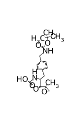 CC(C)(C)OC(=O)NCc1ccc(CC(NC(=O)O)C(=O)C2(C)CO2)cc1